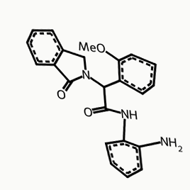 COc1ccccc1C(C(=O)Nc1ccccc1N)N1Cc2ccccc2C1=O